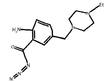 CCN1CCN(Cc2ccc(N)c(C(=O)N=[N+]=[N-])c2)CC1